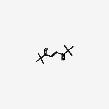 CC(C)(C)NC=CNC(C)(C)C